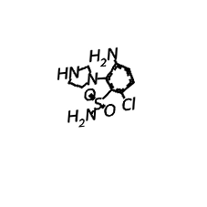 Nc1ccc(Cl)c(S(N)(=O)=O)c1N1CCNC1